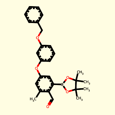 Cc1cc(Oc2cccc(OCc3ccccc3)c2)cc(B2OC(C)(C)C(C)(C)O2)c1C=O